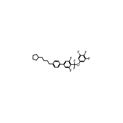 Fc1cc(OC(F)(F)c2c(F)cc(-c3ccc(CCCCC4CCCC4)cc3)cc2F)cc(F)c1F